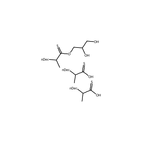 CCCCCCCCCCC(C)C(=S)OCC(O)CO.CCCCCCCCCCC(C)C(O)=S.CCCCCCCCCCC(C)C(O)=S